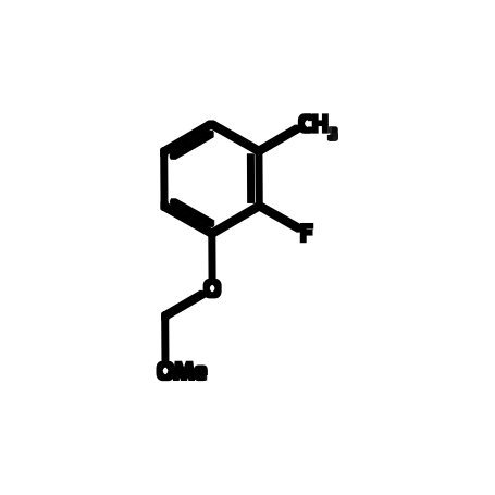 COCOc1cccc(C)c1F